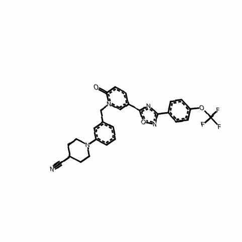 N#CC1CCN(c2cccc(Cn3cc(-c4nc(-c5ccc(OC(F)(F)F)cc5)no4)ccc3=O)c2)CC1